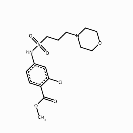 COC(=O)c1ccc(NS(=O)(=O)CCCN2CCOCC2)cc1Cl